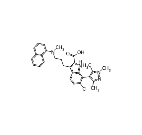 Cc1nn(C)c(C)c1-c1c(Cl)ccc2c(CCCN(C)c3cccc4ccccc34)c(C(=O)O)[nH]c12